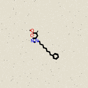 COC(=O)[C@@H](C)Cc1cncn1CCCCCCCCc1ccccc1